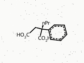 CCC[C@](CC(=O)O)(C(=O)O)c1ccccc1